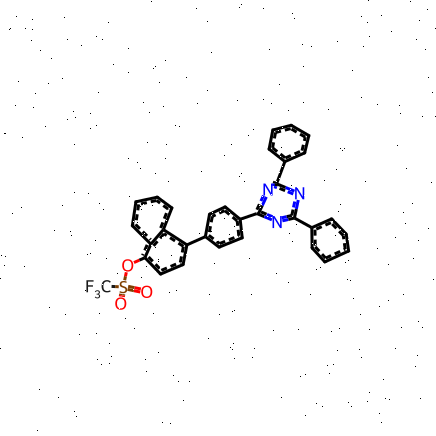 O=S(=O)(Oc1ccc(-c2ccc(-c3nc(-c4ccccc4)nc(-c4ccccc4)n3)cc2)c2ccccc12)C(F)(F)F